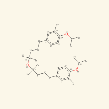 Cc1cc(CCC[Si](C)(C)O[Si](C)(C)CCCc2ccc(OC(C)C)c(C)c2)ccc1OC(C)C